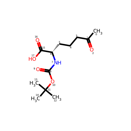 CC(=O)CCC[C@H](NC(=O)OC(C)(C)C)C(=O)O